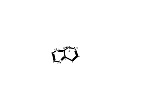 C1=Cc2nccnc2NN=1